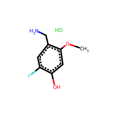 COc1cc(O)c(F)cc1CN.Cl